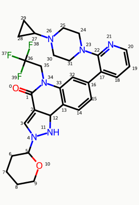 O=C1C2=CN(C3CCCCO3)NC2c2ccc(-c3cccnc3N3CCN(C4CC4)CC3)cc2N1CC(F)(F)F